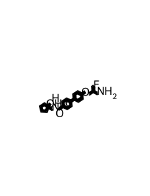 NCC(=CF)COc1ccc(C23CCC(C(=O)NCC4(O)CCCC4)(CC2)CC3)cc1